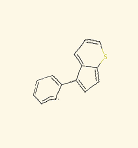 [c]1ccccc1-c1ccc2scccc1-2